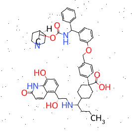 CCCC(NC[C@H](O)c1ccc(O)c2[nH]c(=O)ccc12)C1CCC(C(=O)O)(c2ccc(COc3cccc(C(NC(=O)O[C@H]4CN5CCC4CC5)c4ccccc4)c3)cc2)CC1